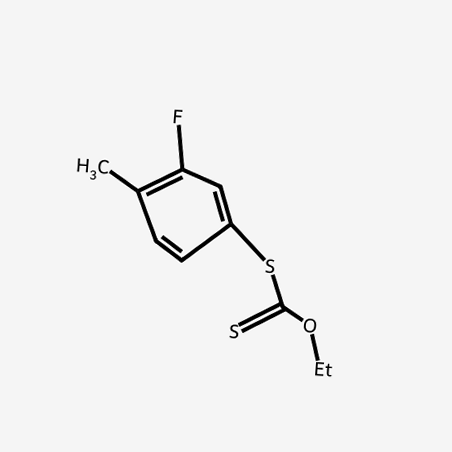 CCOC(=S)Sc1ccc(C)c(F)c1